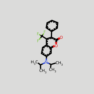 CC(C)N(c1ccc2c(C(F)(F)F)c(-c3ccccc3)c(=O)oc2c1)C(C)C